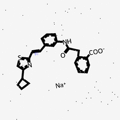 O=C(Cc1ccccc1C(=O)[O-])Nc1cccc(/C=C/c2nc(C3CCC3)cs2)c1.[Na+]